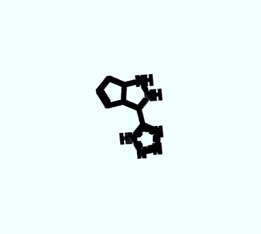 C1=CC2C(C1)NNC2c1nnn[nH]1